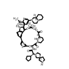 CCn1c(-c2cc(N3CCN4CCCC[C@@H]4C3)cnc2[C@H](C)OC)c2c3cc(ccc31)-c1csc(n1)C[C@H](NC(=O)[C@H](C1CCCC1)N1CC[C@]3(CCNC3)C1)C(=O)N1CCC[C@H](N1)C(=O)OCC(C)(C)C2